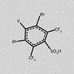 CC(C)c1c(F)c(C(C)C)c(C(F)(F)F)c(S(=O)(=O)O)c1C(F)(F)F